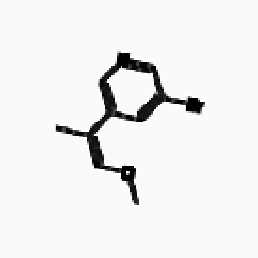 CO/C=C(/C)c1cncc(Br)c1